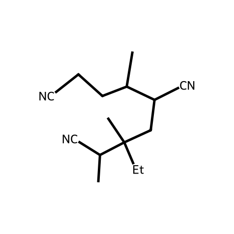 CCC(C)(CC(C#N)C(C)CCC#N)C(C)C#N